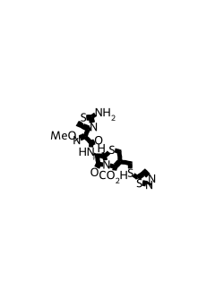 CON=C(C(=O)N[C@@H]1C(=O)N2C(C(=O)O)=C(CSc3cnns3)CS[C@@H]12)c1csc(N)n1